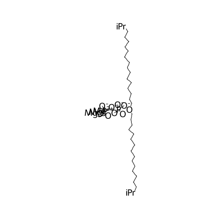 CC(C)CCCCCCCCCCCCCCCOCCCCCCCCCCCCCCCC(C)C.O=P([O-])([O-])[O-].O=P([O-])([O-])[O-].[Mg+2].[Mg+2].[Mg+2]